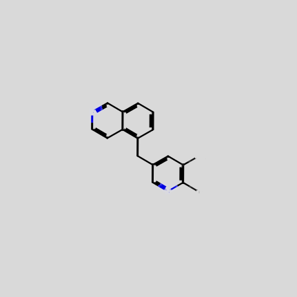 CC(C)c1ncc(Cc2cccc3cnccc23)cc1C(F)(F)F